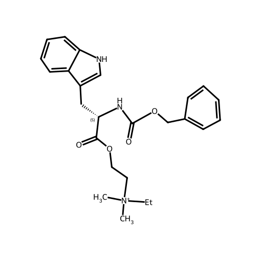 CC[N+](C)(C)CCOC(=O)[C@H](Cc1c[nH]c2ccccc12)NC(=O)OCc1ccccc1